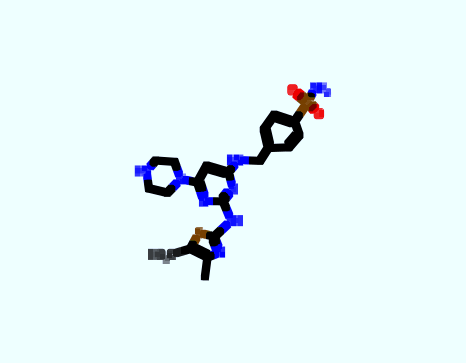 Cc1nc(Nc2nc(NCc3ccc(S(N)(=O)=O)cc3)cc(N3CCNCC3)n2)sc1C(=O)O